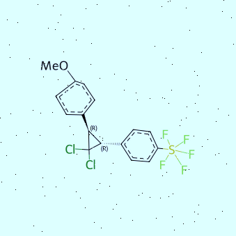 COc1ccc([C@H]2[C@H](c3ccc(S(F)(F)(F)(F)F)cc3)C2(Cl)Cl)cc1